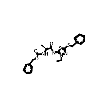 CCn1nc(SCc2ccccc2)sc1=NC(=O)[C@H](C)NC(=O)OCc1ccccc1